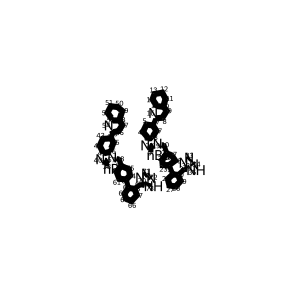 CCCCc1nc2ccc(-c3ccc4ccccc4n3)cc2n1Cc1ccc(-c2ccccc2-c2nnn[nH]2)cc1.CCCc1nc2ccc(-c3ccc4ccccc4n3)cc2n1Cc1ccc(-c2ccccc2-c2nnn[nH]2)cc1